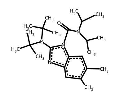 Cc1cc2nc(P(C(C)(C)C)C(C)(C)C)n(C(=O)N(C(C)C)C(C)C)c2cc1C